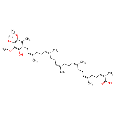 COc1c(C)c(CC=C(C)CCC=C(C)CCC=C(C)CCC=C(C)CCC=C(C)CCC=C(C)C(=O)O)c(O)c(OC)c1OC